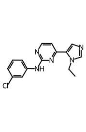 CCn1cncc1-c1ccnc(Nc2cccc(Cl)c2)n1